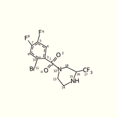 O=S(=O)(c1cc(F)c(F)cc1Br)N1CCNC(C(F)(F)F)C1